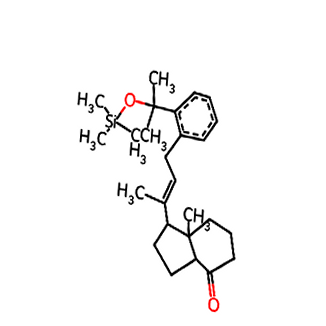 CC(=CCc1ccccc1C(C)(C)O[Si](C)(C)C)C1CCC2C(=O)CCCC21C